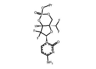 CC(C)OP1(=O)OC[C@@]2(C(F)F)O[C@@H](n3ccc(N)nc3=O)C(F)(F)[C@@H]2O1